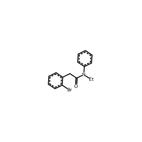 CCN(C(=O)Cc1ccccc1Br)c1ccccc1